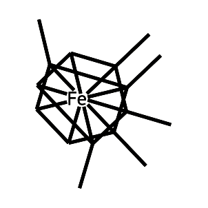 C[C]12[CH]3[CH]4[C]5(C)[C]1(C)[Fe]34251678[CH]2[CH]1[C]6(C)[C]7(C)[C]28C